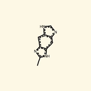 Cc1nc2cc3[nH]cnc3cc2[nH]1